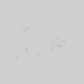 O=S(=O)(Nc1ncc(F)cn1)c1ccc2c(c1)OCC[C@@H]2c1ccc(C(F)(F)F)cc1-c1ccc(F)cn1